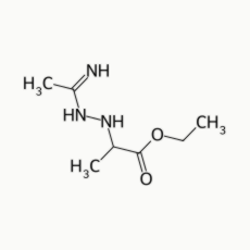 CCOC(=O)C(C)NNC(C)=N